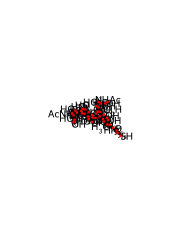 CC(=O)NC1C(O[C@H]2C(CO)O[C@@H](O[C@@H]3C(CO)O[C@@H](N(C)OCCNC(=O)CCCS)C(O)C3O)C(O)C2O[C@]2(C(=O)O)CC(O)[C@@H](NC(C)=O)C(CC(O)CO)O2)OC(CO)[C@H](O)C1OC1OC(CO)[C@H](O)C(O[C@]2(C(=O)O)CC(O)[C@@H](NC(C)=O)C([C@H](O)[C@H](O)CO)O2)C1O